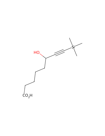 C[Si](C)(C)C#CC(O)CCCCC(=O)O